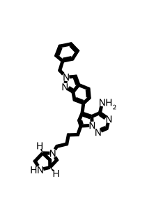 Nc1ncnn2c(CCCCN3C[C@@H]4C[C@H]3CN4)cc(-c3ccc4cn(Cc5ccccc5)nc4c3)c12